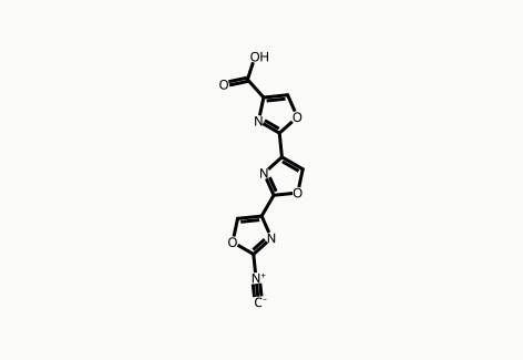 [C-]#[N+]c1nc(-c2nc(-c3nc(C(=O)O)co3)co2)co1